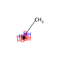 CCC=CCC=CCC=CCC=CCC=CCC=CCCC(=O)NCC(=O)N[C@@H]1[C@@H](O)[C@H](O)[C@@H](CO)O[C@H]1O